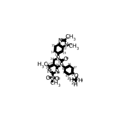 [2H]C([2H])([2H])Oc1ccc(N2C(=O)N(c3ccc4nc(C)n(C)c4c3)Cc3c(C)nc(S(C)(=O)=O)nc32)cc1